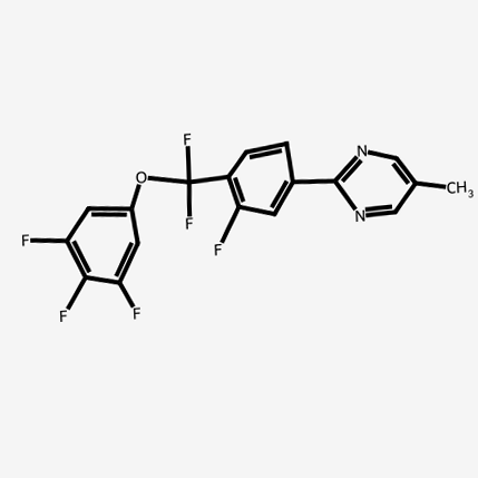 Cc1cnc(-c2ccc(C(F)(F)Oc3cc(F)c(F)c(F)c3)c(F)c2)nc1